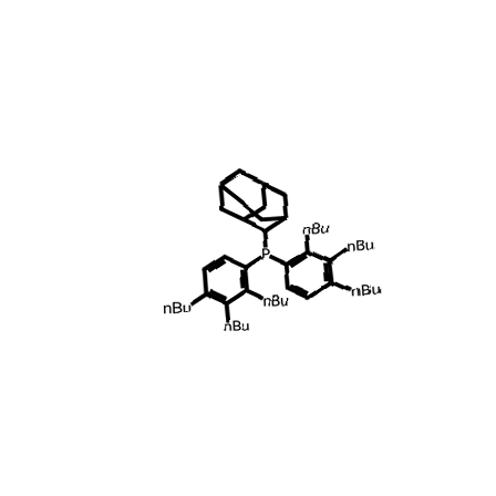 CCCCc1ccc(P(c2ccc(CCCC)c(CCCC)c2CCCC)C2C3CC4CC(C3)CC2C4)c(CCCC)c1CCCC